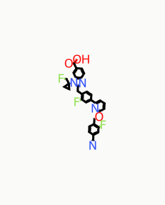 N#Cc1ccc(COc2cccc(-c3ccc(Cc4nc5ccc(C(=O)O)cc5n4C4(CF)CC4)c(F)c3)n2)c(F)c1